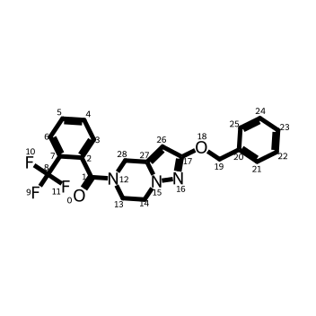 O=C(c1ccccc1C(F)(F)F)N1CCn2nc(OCc3ccccc3)cc2C1